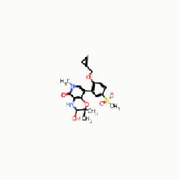 Cn1cc(-c2cc(S(C)(=O)=O)ccc2OCC2CC2)c2c(c1=O)NC(O)C(C)(C)O2